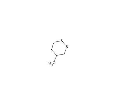 CC1CCSSC1